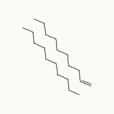 C=CCCCCCCCC.CCCCCCCCCC